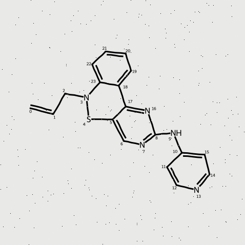 C=CCN1Sc2cnc(Nc3ccncc3)nc2-c2ccccc21